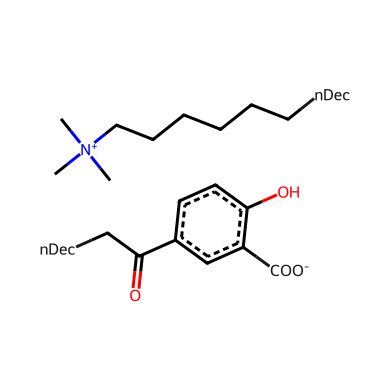 CCCCCCCCCCCC(=O)c1ccc(O)c(C(=O)[O-])c1.CCCCCCCCCCCCCCCC[N+](C)(C)C